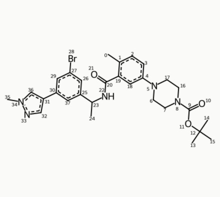 Cc1ccc(N2CCN(C(=O)OC(C)(C)C)CC2)cc1C(=O)NC(C)c1cc(Br)cc(-c2cnn(C)c2)c1